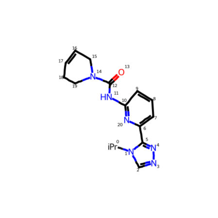 CC(C)n1cnnc1-c1cccc(NC(=O)N2CC=CCC2)n1